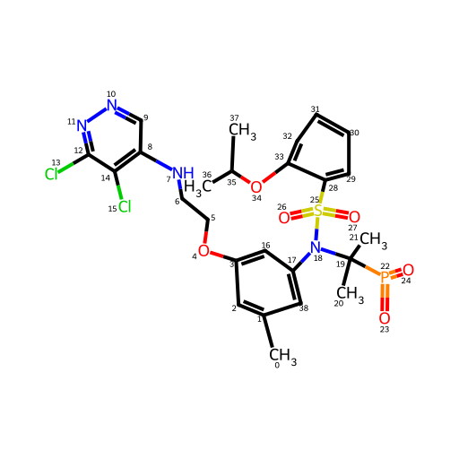 Cc1cc(OCCNc2cnnc(Cl)c2Cl)cc(N(C(C)(C)P(=O)=O)S(=O)(=O)c2ccccc2OC(C)C)c1